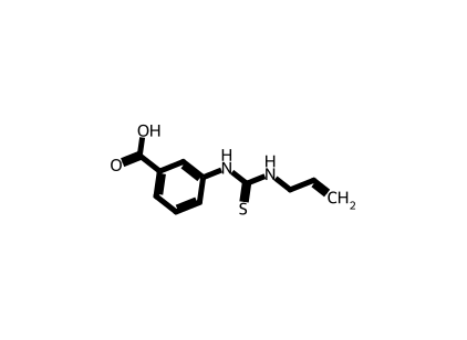 C=CCNC(=S)Nc1cccc(C(=O)O)c1